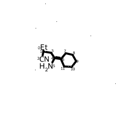 CCC(C#N)CC(N)=C1CCCCC1